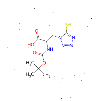 CC(C)(C)OC(=O)NC(Cn1nnnc1S)C(=O)O